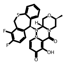 C[C@H]1CN2C(=O)c3c(O)c(=O)ccn3N([C@@H]3c4ccccc4SCc4c3ccc(F)c4F)[C@@H]2CO1